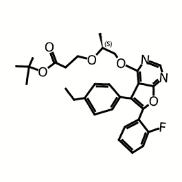 CCc1ccc(-c2c(-c3ccccc3F)oc3ncnc(OC[C@H](C)OCCC(=O)OC(C)(C)C)c23)cc1